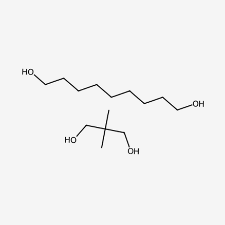 CC(C)(CO)CO.OCCCCCCCCCO